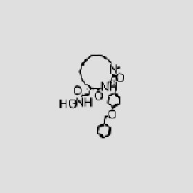 CN1CCCCC=CCCC[C@H](CC(=O)NO)C(=O)N[C@@H](Cc2ccc(OCc3ccccc3)cc2)C1=O